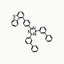 c1ccc(-c2cccc(-c3nc(-c4ccc(-c5cccc6sc7ccccc7c56)cc4)nc(-c4cccc(-c5ccccc5)c4)n3)c2)cc1